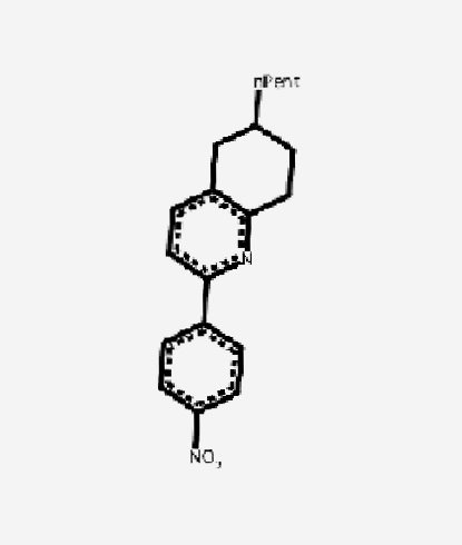 CCCCCC1CCc2nc(-c3ccc([N+](=O)[O-])cc3)ccc2C1